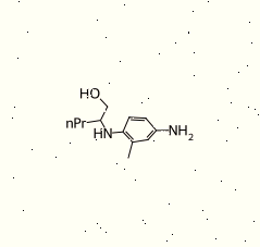 CCCC(CO)Nc1ccc(N)cc1C